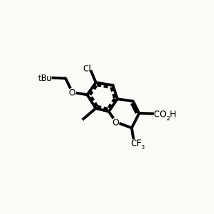 Cc1c(OCC(C)(C)C)c(Cl)cc2c1OC(C(F)(F)F)C(C(=O)O)=C2